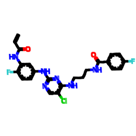 C=CC(=O)Nc1cc(Nc2ncc(Cl)c(NCCCNC(=O)c3ccc(F)cc3)n2)ccc1F